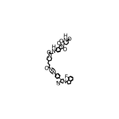 CN(C)[C@H]1CN(C2CCc3cccc(F)c32)C[C@@H]1c1ccc(N2CCN(C(=O)CCC3CCN(C(=O)CNc4ccc5c(c4)C(=O)N(C4CCC(=O)NC4=O)C5=O)CC3)CC2)cc1